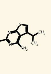 CC(C)c1csc2nc(Cl)nc(N)c12